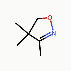 CC1=NOCC1(C)C